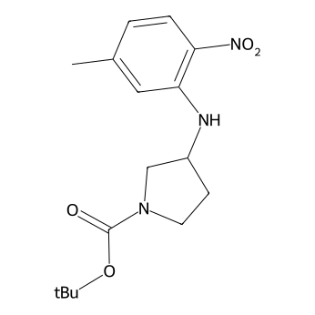 Cc1ccc([N+](=O)[O-])c(NC2CCN(C(=O)OC(C)(C)C)C2)c1